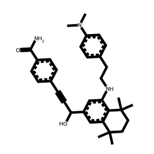 CN(C)c1ccc(CCNc2cc(C(O)C#Cc3ccc(C(N)=O)cc3)cc3c2C(C)(C)CCC3(C)C)cc1